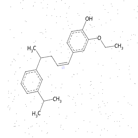 CCOc1cc(/C=C\CC(C)c2cccc(C(C)C)c2)ccc1O